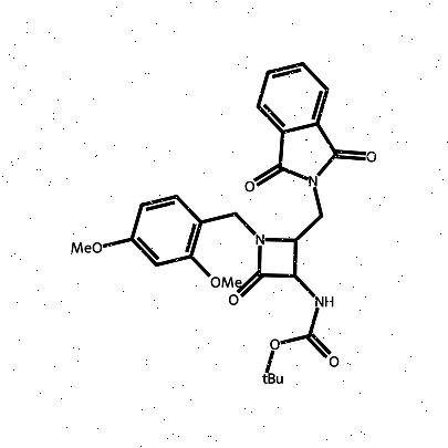 COc1ccc(CN2C(=O)C(NC(=O)OC(C)(C)C)C2CN2C(=O)c3ccccc3C2=O)c(OC)c1